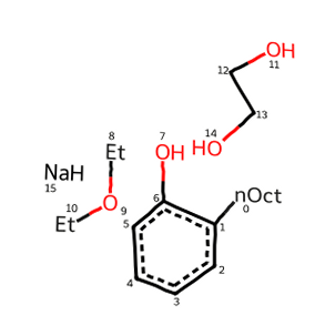 CCCCCCCCc1ccccc1O.CCOCC.OCCO.[NaH]